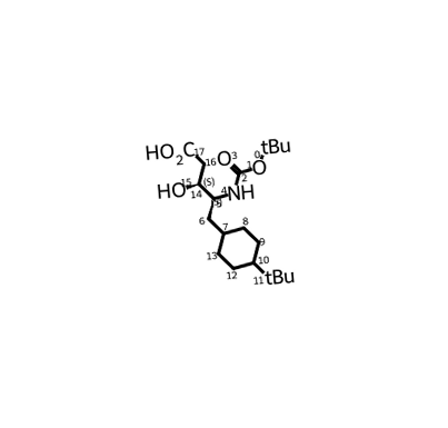 CC(C)(C)OC(=O)N[C@@H](CC1CCC(C(C)(C)C)CC1)[C@@H](O)CC(=O)O